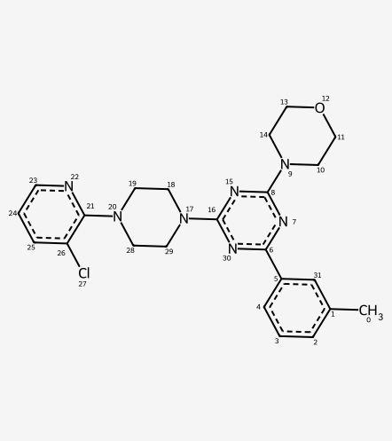 Cc1cccc(-c2nc(N3CCOCC3)nc(N3CCN(c4ncccc4Cl)CC3)n2)c1